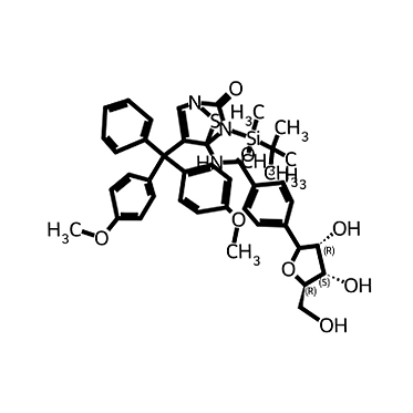 COc1ccc(C(C2=CN3SC2(NC(=O)c2ccc(C4O[C@H](CO)[C@@H](O)[C@H]4O)cc2)N([Si](C)(C)C(C)(C)C)C3=O)(c2ccccc2)c2ccc(OC)cc2)cc1